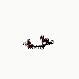 CC(=O)n1cc2cc(C3CCN(C(=O)CCCCCCCNc4ccc5c(c4)n(C)c(=O)n5C4CCC(=O)NC4=O)CC3)cc(N3CCCc4cc(-c5cnn(C)c5)c(C(F)F)cc43)c2c1